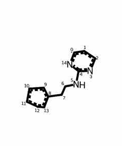 [c]1ccnc(NCCc2ccccc2)n1